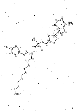 CCCCCCCCCCCCCCCCCCOC[C@H](COP(=O)(O)OC[C@@H]1CC[C@](C)(c2ccc3c(N)ncnn23)O1)OCc1ccc(F)cc1